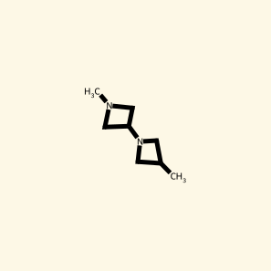 CC1CN(C2CN(C)C2)C1